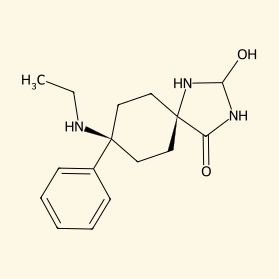 CCN[C@]1(c2ccccc2)CC[C@@]2(CC1)NC(O)NC2=O